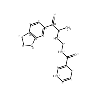 CC(NCNC(=O)C1=CNC=CC1)C(=O)c1ccc2c(c1)OCO2